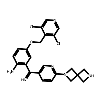 N=C(c1ccc(N2CC3(CNC3)C2)nc1)c1cc(OCc2c(Cl)cncc2Cl)ccc1N